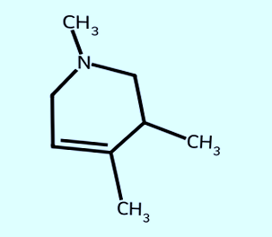 CC1=CCN(C)CC1C